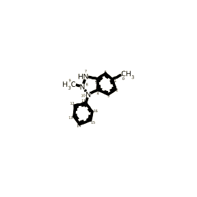 Cc1ccc2c(c1)NN(C)N2c1ccccc1